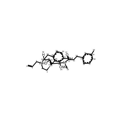 C=CCN1CC[C@]23CC(N(C)C(=O)CCc4cccc(C)c4)CC[C@@]2(O)[C@H]1Cc1ccc(O)c(OC)c13